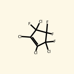 FC1(Cl)C(Cl)=C(Cl)C(F)(Cl)C1(F)F